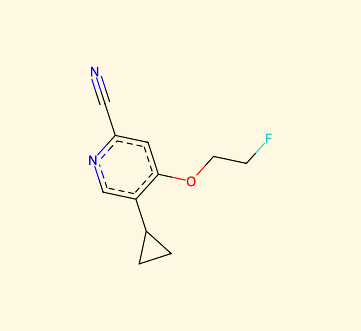 N#Cc1cc(OCCF)c(C2CC2)cn1